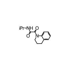 CC(C)NC(=O)C(=O)N1CCCc2ccccc21